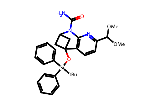 COC(OC)c1ccc2c(n1)N(C(N)=O)C1CC2(O[Si](c2ccccc2)(c2ccccc2)C(C)(C)C)C1